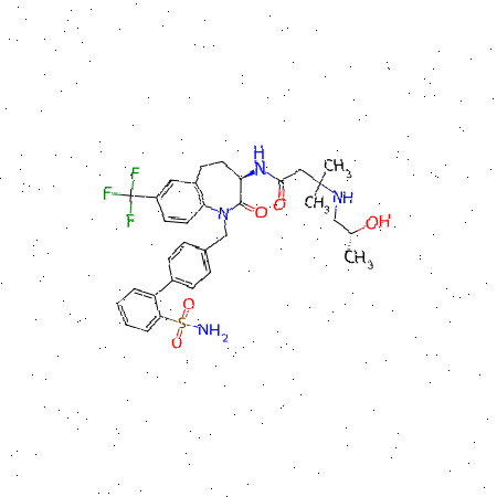 C[C@@H](O)CNC(C)(C)CC(=O)N[C@@H]1CCc2cc(C(F)(F)F)ccc2N(Cc2ccc(-c3ccccc3S(N)(=O)=O)cc2)C1=O